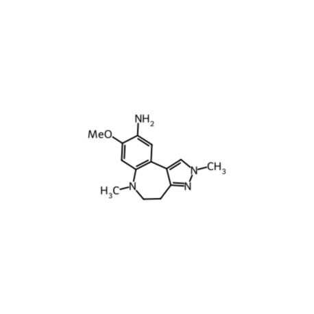 COc1cc2c(cc1N)-c1cn(C)nc1CCN2C